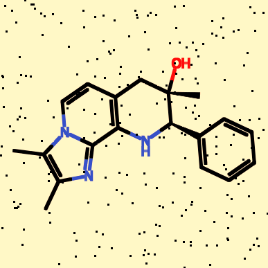 Cc1nc2c3c(ccn2c1C)C[C@](C)(O)[C@@H](c1ccccc1)N3